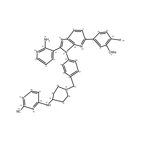 COc1cc(-c2ccc3nc(-c4cccnc4N)n(-c4ccc(CN5CCC(Nc6ccnc(C#N)n6)CC5)cc4)c3n2)ccc1F